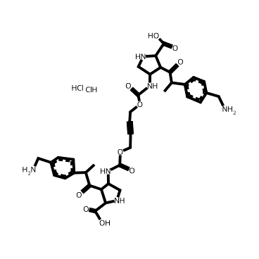 CC(C(=O)C1C(NC(=O)OCC#CCOC(=O)NC2CNC(C(=O)O)C2C(=O)C(C)c2ccc(CN)cc2)CNC1C(=O)O)c1ccc(CN)cc1.Cl.Cl